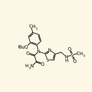 Cc1ccc(N(C(=O)C(N)=O)c2nc(CNS(C)(=O)=O)cs2)c(OCC(C)C)c1